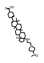 C[S+]([O-])C1CCN(CCNC23CCC[C@@H]2C2CCC4C(C)(CCC5C(C)(C)C(C6=CCC(C(=O)O)CC6)=CCC54C)C2CC3)CC1